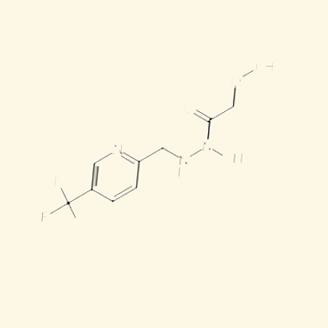 COCC(=O)N(C)NCc1ccc(C(F)(F)F)cn1